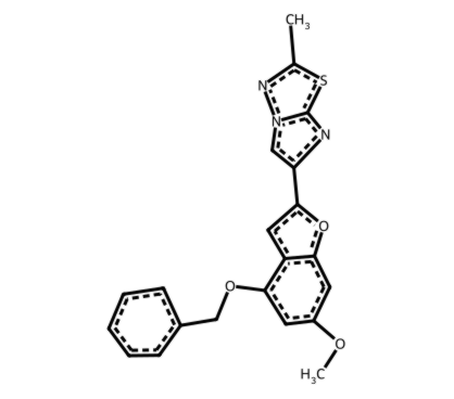 COc1cc(OCc2ccccc2)c2cc(-c3cn4nc(C)sc4n3)oc2c1